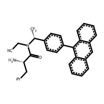 CC(C)C[C@H](N)C(=O)N(CC#N)[C@@H](c1ccc(-c2c3ccccc3cc3ccccc23)cc1)C(F)(F)F